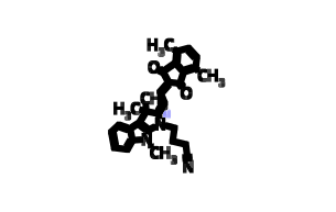 Cc1ccc(C)c2c1C(=O)C(=C/C=C1/N(CCCC#N)c3c(c4ccccc4n3C)C1(C)C)C2=O